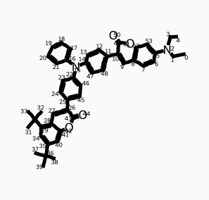 CCN(CC)c1ccc2cc(-c3ccc(N(c4ccccc4)c4ccc(-c5cc6c(C(C)(C)C)cc(C(C)(C)C)cc6oc5=O)cc4)cc3)c(=O)oc2c1